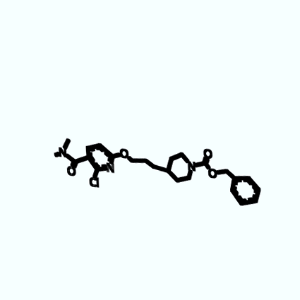 CN(C)C(=O)c1ccc(OCCCC2CCN(C(=O)OCc3ccccc3)CC2)nc1Cl